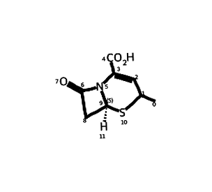 CC1C=C(C(=O)O)N2C(=O)C[C@@H]2S1